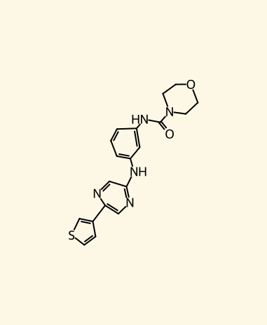 O=C(Nc1cccc(Nc2cnc(-c3ccsc3)cn2)c1)N1CCOCC1